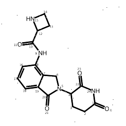 O=C1CCC(N2Cc3c(NC(=O)C4CCN4)cccc3C2=O)C(=O)N1